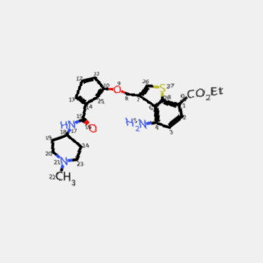 CCOC(=O)c1ccc(N)c2c(COc3cccc(C(=O)NC4CCN(C)CC4)c3)csc12